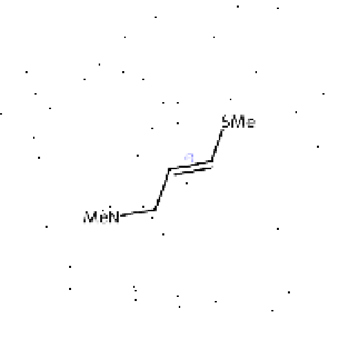 CNC/C=C/SC